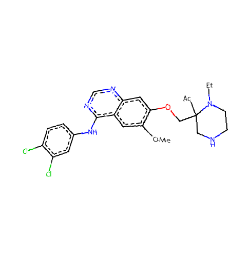 CCN1CCNCC1(COc1cc2ncnc(Nc3ccc(Cl)c(Cl)c3)c2cc1OC)C(C)=O